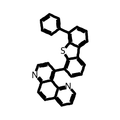 c1ccc(-c2cccc3c2sc2c(-c4ccnc5ccc6cccnc6c45)cccc23)cc1